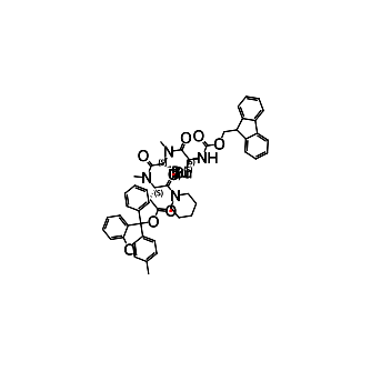 CC[C@H](C)[C@H](NC(=O)OCC1c2ccccc2-c2ccccc21)C(=O)N(C)[C@H](C(=O)N(C)[C@@H](CC(=O)OC(c1ccccc1)(c1ccc(C)cc1)c1ccccc1Cl)C(=O)N1CCCCC1)[C@@H](C)CC